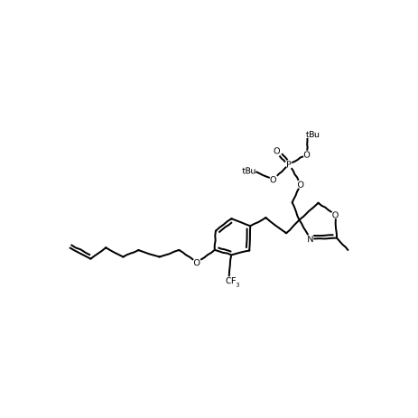 C=CCCCCCOc1ccc(CCC2(COP(=O)(OC(C)(C)C)OC(C)(C)C)COC(C)=N2)cc1C(F)(F)F